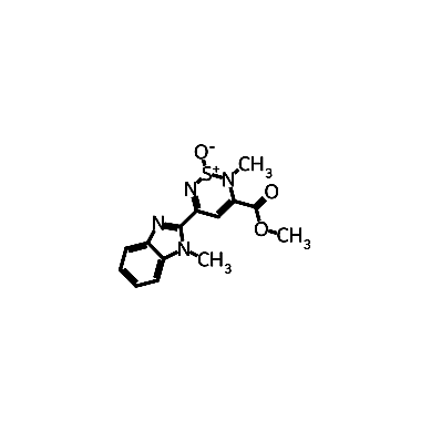 COC(=O)C1=CC(c2nc3ccccc3n2C)=N[S+]([O-])N1C